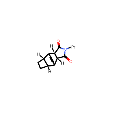 CC(C)N1C(=O)[C@@H]2C3C=CC([C@H]4CC[C@@H]34)[C@@H]2C1=O